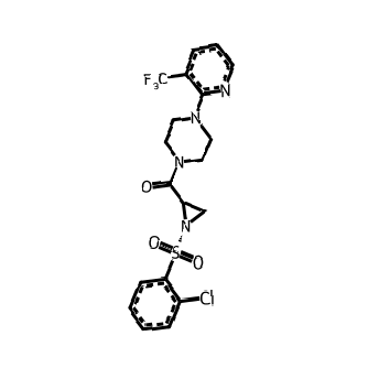 O=C(C1C[N@]1S(=O)(=O)c1ccccc1Cl)N1CCN(c2ncccc2C(F)(F)F)CC1